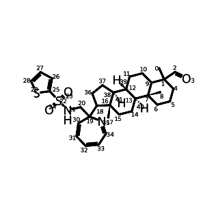 CC1(C=O)CCC[C@@]2(C)C1CC[C@@H]1[C@@H]2CC[C@]2(C)C(C3(CNS(=O)(=O)c4cccs4)C=CC=CC=N3)CC[C@@H]12